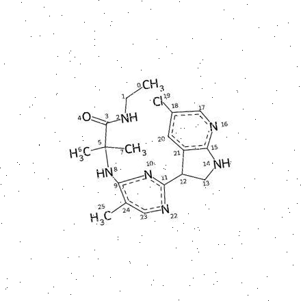 CCNC(=O)C(C)(C)Nc1nc(C2CNc3ncc(Cl)cc32)ncc1C